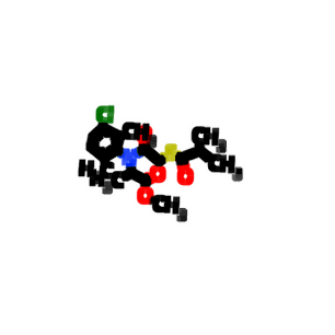 COC(=O)C(C)N(C(=O)CSC(=O)C(C)C)c1c(C)ccc(Cl)c1C